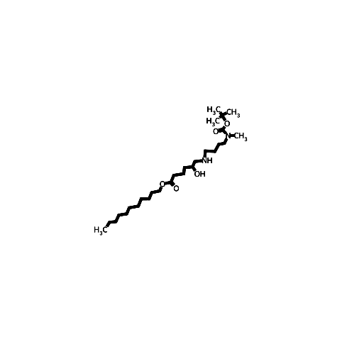 CCCCCCCCCCCOC(=O)CCCC(O)CNCCCCN(C)C(=O)OC(C)(C)C